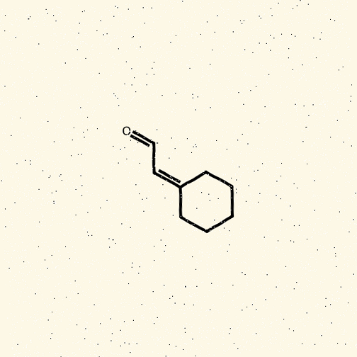 O=[C]C=C1CCCCC1